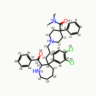 CN(C)C(=O)C1(c2ccccc2)CCN(CCCC2(c3ccc(Cl)c(Cl)c3)CCCCNC2C(=O)c2ccccc2)CC1